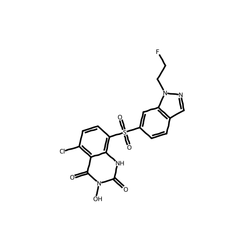 O=c1[nH]c2c(S(=O)(=O)c3ccc4cnn(CCF)c4c3)ccc(Cl)c2c(=O)n1O